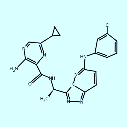 C[C@@H](NC(=O)c1nc(C2CC2)cnc1N)c1nnc2ccc(Nc3cccc(Cl)c3)nn12